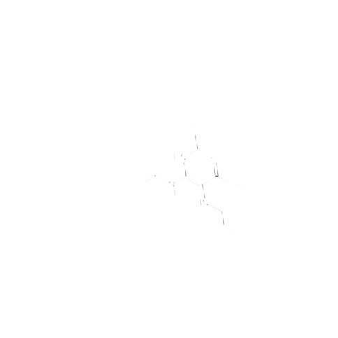 CCNC(NCC)=C(NCC)C(=O)O